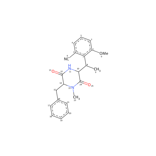 COc1cccc(C#N)c1C(C)C1NC(=O)C(Cc2ccccc2)N(C)C1=O